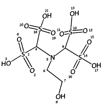 O=S(=O)(O)C(N(CCO)C(S(=O)(=O)O)S(=O)(=O)O)S(=O)(=O)O